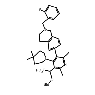 Cc1nc(C)c(C(OC(C)(C)C)C(=O)O)c(N2CCC(C)(C)CC2)c1-c1ccc2c(c1)CCN(Cc1ccccc1F)C2